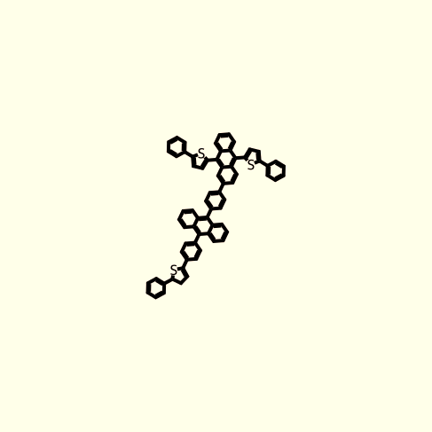 C1=C(c2ccc(-c3c4ccccc4c(-c4ccc(-c5ccc6c(-c7ccc(-c8ccccc8)s7)c7ccccc7c(-c7ccc(-c8ccccc8)s7)c6c5)cc4)c4ccccc34)cc2)SC(c2ccccc2)C1